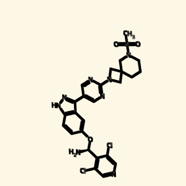 CS(=O)(=O)N1CCCC2(CN(c3ncc(-c4n[nH]c5ccc(O[C@H](N)c6c(Cl)cncc6Cl)cc45)cn3)C2)C1